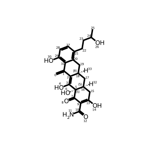 C=C1C2=C(O)[C@]3(O)C(=O)C(C(N)=O)=C(O)C[C@@H]3C[C@@H]2Cc2c(CCC(C)O)ccc(O)c21